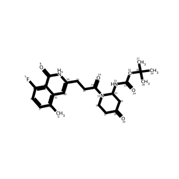 Cc1ccc(F)c2c(=O)[nH]c(CCC(=O)N3CCC(=O)CC3NC(=O)OC(C)(C)C)cc12